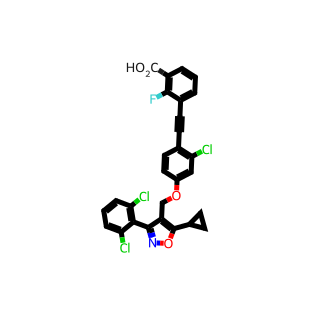 O=C(O)c1cccc(C#Cc2ccc(OCc3c(-c4c(Cl)cccc4Cl)noc3C3CC3)cc2Cl)c1F